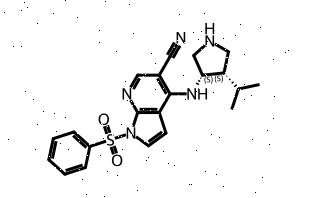 CC(C)[C@H]1CNC[C@H]1Nc1c(C#N)cnc2c1ccn2S(=O)(=O)c1ccccc1